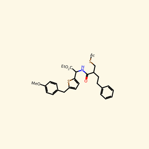 CCOC(=O)C(NC(=O)C(CCc1ccccc1)CSC(C)=O)c1ccc(Cc2ccc(OC)cc2)s1